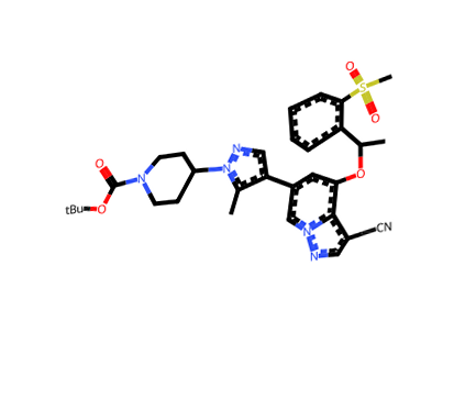 Cc1c(-c2cc(OC(C)c3ccccc3S(C)(=O)=O)c3c(C#N)cnn3c2)cnn1C1CCN(C(=O)OC(C)(C)C)CC1